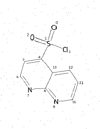 O=S(=O)(Cl)c1ccnc2ncccc12